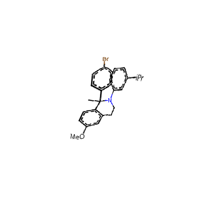 COc1ccc2c(c1)CCN(c1cccc(C(C)C)c1)C2(C)c1ccc(Br)cc1